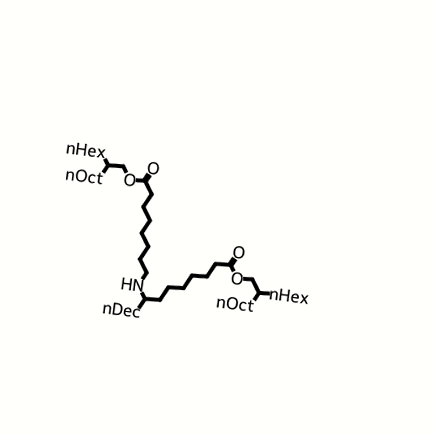 CCCCCCCCCCC(CCCCCCC(=O)OCC(CCCCCC)CCCCCCCC)NCCCCCCCC(=O)OCC(CCCCCC)CCCCCCCC